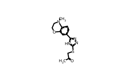 CC(=O)CSc1nnc(-c2ccc3c(c2)OCCN3C)[nH]1